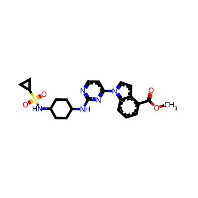 COC(=O)c1cccc2c1ccn2-c1ccnc(NC2CCC(NS(=O)(=O)C3CC3)CC2)n1